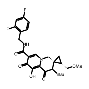 CCCCC1C(=O)c2c(O)c(=O)c(C(=O)NCc3ccc(F)cc3F)cn2C[C@@]12C[C@@H]2COC